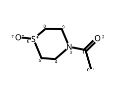 [CH2]C(=O)N1CC[S+]([O-])CC1